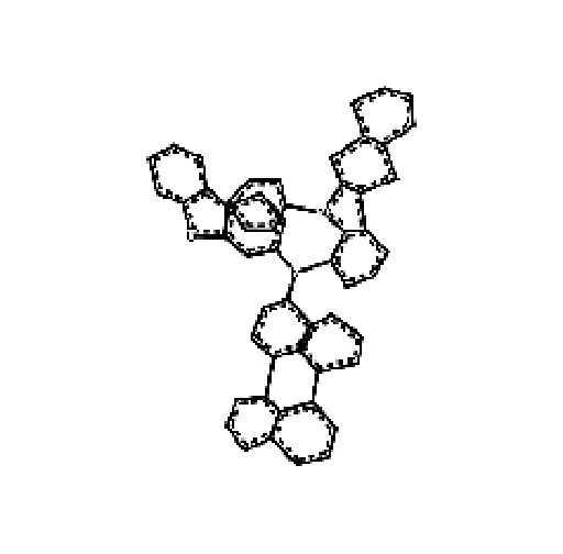 c1ccc(-c2cccc3cccc(-c4ccc(N(c5ccc6c(c5)oc5ccccc56)c5cccc6c7cc8ccccc8cc7n(-c7ccccc7)c56)cc4)c23)cc1